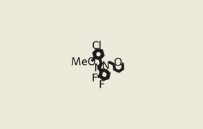 COc1cc(Cl)ccc1-c1nc2c(F)c(F)ccc2n1CC1CCCCO1